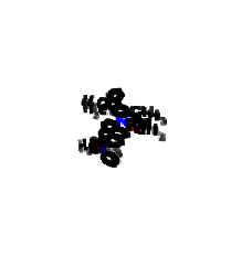 CC(C)c1cc2ccc(N3c4ccccc4C(C)(C)c4cc5c(cc43)C(C)(C)c3ccccc3-5)c3c(C(C)C)cc4ccc(N(c5ccccc5)c5ccccc5)c1c4c23